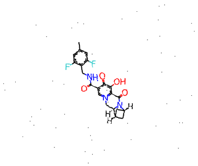 Cc1cc(F)c(CNC(=O)c2cn3c(c(O)c2=O)C(=O)N2[C@H]4C[C@H](C4)[C@H]2C3)c(F)c1